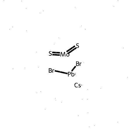 [Br][Pb][Br].[Cs].[S]=[Mo]=[S]